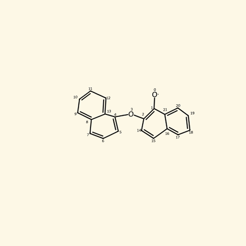 [O]c1c(Oc2cccc3ccccc23)ccc2ccccc12